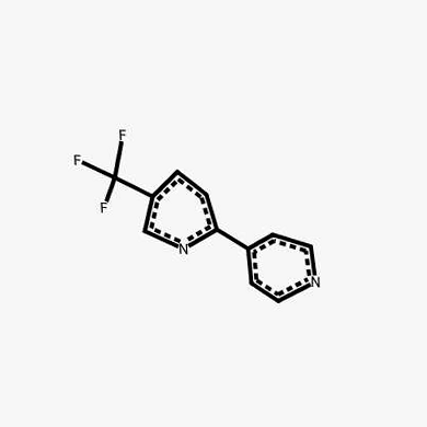 FC(F)(F)c1ccc(-c2ccncc2)nc1